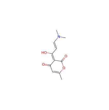 CC1=CC(=O)C(=C(O)C=CN(C)C)C(=O)O1